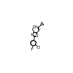 OCc1nc(-c2ccc(F)c(Cl)c2)sc1/C=C/C1CC1